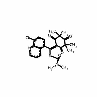 CN(C)C(=O)SC(=C1C(=O)C(C)(C)C(=O)C(C)(C)C1=O)c1ccc(Cl)c2ncccc12